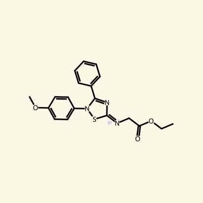 CCOC(=O)C/N=c1\nc(-c2ccccc2)n(-c2ccc(OC)cc2)s1